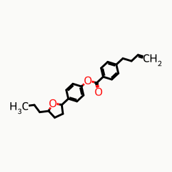 C=CCCc1ccc(C(=O)Oc2ccc(C3CCC(CCC)O3)cc2)cc1